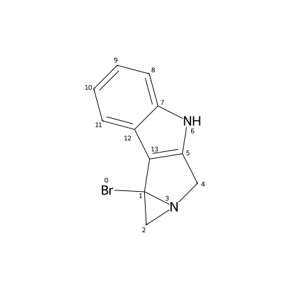 BrC12CN1Cc1[nH]c3ccccc3c12